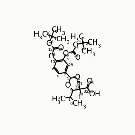 CC(C)C(OC(=O)c1ccc(OC(=O)OC(C)(C)C)c(OC(=O)OC(C)(C)C)c1)C(F)(F)C(=O)O